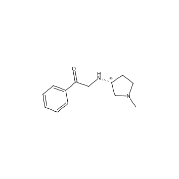 CN1CC[C@@H](NCC(=O)c2ccccc2)C1